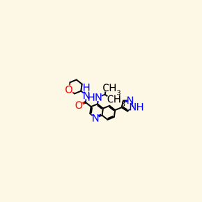 CC(C)Nc1c(C(=O)NC2CCCOC2)cnc2ccc(-c3cn[nH]c3)cc12